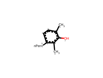 CCCCCc1ccc(C)c(O)c1C